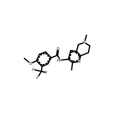 COc1ccc(C(=O)Nc2cc3c(nc2C)CCN(C)C3)cc1C(F)(F)F